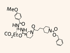 CCOC(=O)C[C@H](NC(=O)c1ccc(OC)cc1)NC(=O)[C@@H]1CCCN(C(=O)CCC2CCN(C(=O)OCc3ccccc3)CC2)C1